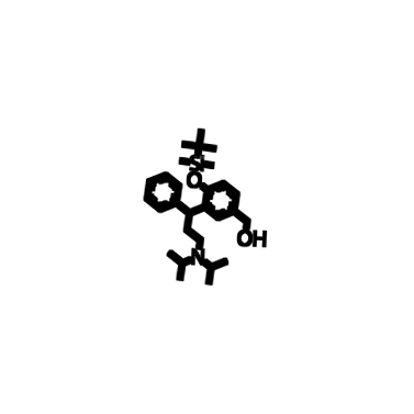 CC(C)N(CCC(c1ccccc1)c1cc(CO)ccc1O[Si](C)(C)C(C)(C)C)C(C)C